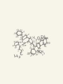 C=C/C=C(\C=C1/Cc2cc(-c3ccccc3)ccc2-c2ccc(N3c4ccccc4C(C)(C)c4cc5c(cc43)C(C)(C)c3ccccc3-5)cc21)c1ccccc1